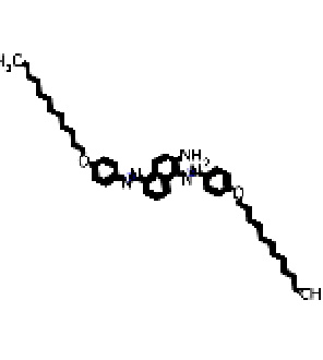 CCCCCCCCCCCCOc1ccc(/N=N/c2cccc3c(/N=N/c4ccc(OCCCCCCCCCCCC)cc4)c(N)ccc23)cc1